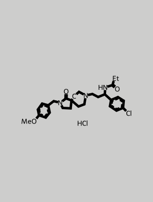 CCC(=O)NC(CCN1CCC2(CC1)CCN(Cc1ccc(OC)cc1)C2=O)c1ccc(Cl)cc1.Cl